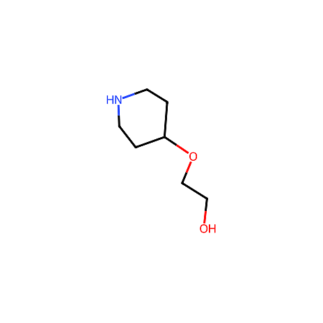 OCCOC1CCNCC1